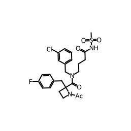 CC(=O)N1CCC1(Cc1ccc(F)cc1)C(=O)N(CCCC(=O)NS(C)(=O)=O)Cc1cccc(Cl)c1